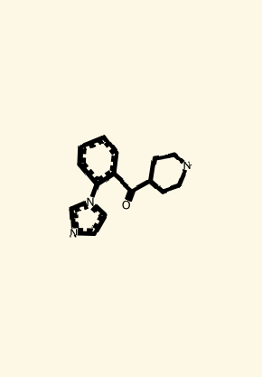 O=C(c1ccccc1-n1ccnc1)C1CC[N]CC1